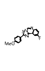 COc1ccc(-c2nc3c4cc(F)ccc4ncn3n2)cc1